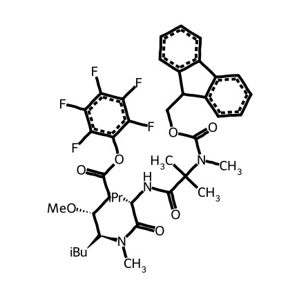 CC[C@H](C)[C@@H]([C@@H](CC(=O)Oc1c(F)c(F)c(F)c(F)c1F)OC)N(C)C(=O)[C@@H](NC(=O)C(C)(C)N(C)C(=O)OCC1c2ccccc2-c2ccccc21)C(C)C